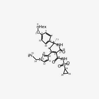 CCCCCCOc1ccc([C@]2(C)CC(c3ccn(CC(C)C)n3)=C(C(=O)NS(=O)(=O)C3CC3)C(=O)N2)cc1